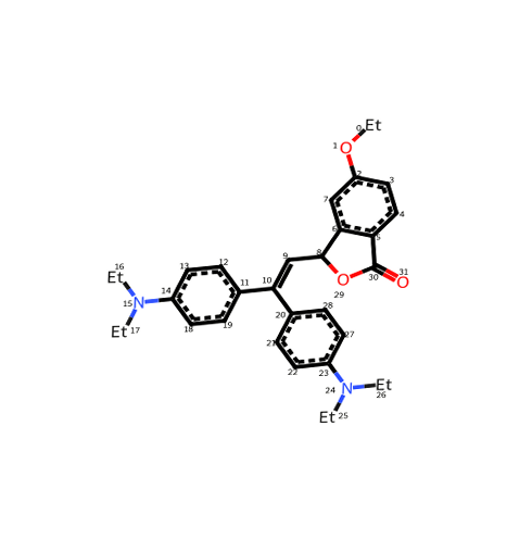 CCOc1ccc2c(c1)C(C=C(c1ccc(N(CC)CC)cc1)c1ccc(N(CC)CC)cc1)OC2=O